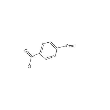 CCCC(C)c1ccc(C(=O)Cl)cc1